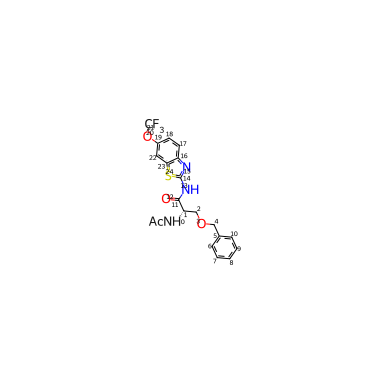 CC(=O)N[C@@H](COCc1ccccc1)C(=O)Nc1nc2ccc(OC(F)(F)F)cc2s1